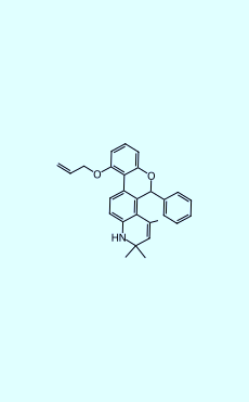 C=CCOc1cccc2c1-c1ccc3c(c1C(c1ccccc1)O2)C(C)=CC(C)(C)N3